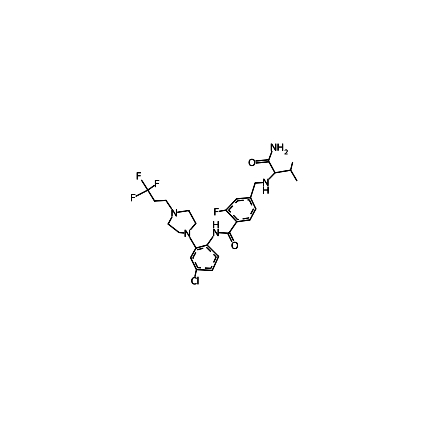 CC(C)C(NCc1ccc(C(=O)Nc2ccc(Cl)cc2N2CCN(CCC(F)(F)F)CC2)c(F)c1)C(N)=O